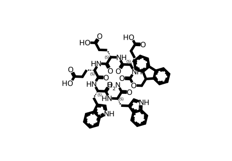 NC(=O)[C@H](Cc1c[nH]c2ccccc12)NC(=O)[C@H](Cc1c[nH]c2ccccc12)NC(=O)[C@H](CCC(=O)O)NC(=O)[C@H](CCC(=O)O)NC(=O)[C@H](CCC(=O)O)NC(=O)OCC1c2ccccc2-c2ccccc21